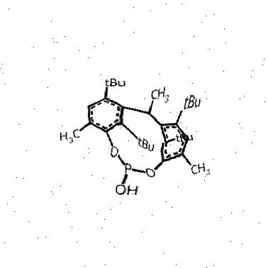 Cc1cc(C(C)(C)C)c2c(C(C)(C)C)c1OP(O)Oc1c(C)cc(C(C)(C)C)c(c1C(C)(C)C)C2C